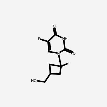 O=c1[nH]c(=O)n(C2(F)CC(CO)C2)cc1F